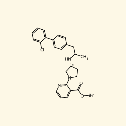 CC(Cc1ccc(-c2ccccc2Cl)cc1)N[C@@H]1CCN(c2ncccc2C(=O)OC(C)C)C1